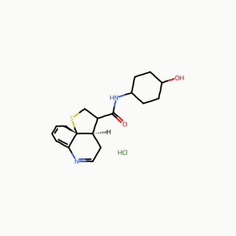 Cl.O=C(NC1CCC(O)CC1)C1CS[C@@]23CC=CC=C2N=CC[C@H]13